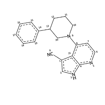 N#Cc1c[nH]c2nccc(N3CCCC(c4ccccc4)C3)c12